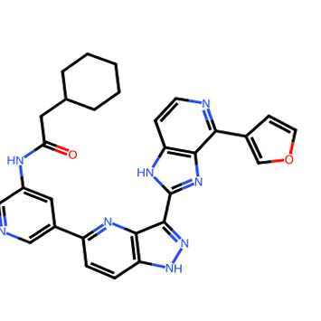 O=C(CC1CCCCC1)Nc1cncc(-c2ccc3[nH]nc(-c4nc5c(-c6ccoc6)nccc5[nH]4)c3n2)c1